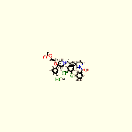 CC(=O)OCCOC1(c2ccccc2)CCN(CCCC2(c3ccc(Cl)c(Cl)c3)CCCN(C(=O)c3ccccc3)C2)CC1.Cl